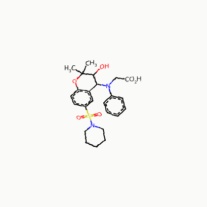 CC1(C)Oc2ccc(S(=O)(=O)N3CCCCC3)cc2C(N(CC(=O)O)c2ccccc2)C1O